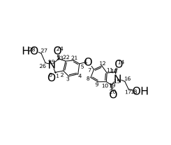 O=C1c2ccc(Oc3ccc4c(c3)C(=O)N(CCO)C4=O)cc2C(=O)N1CCO